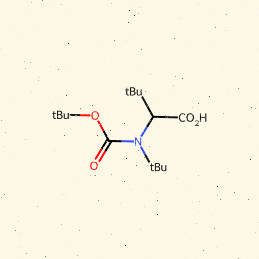 CC(C)(C)OC(=O)N(C(C(=O)O)C(C)(C)C)C(C)(C)C